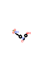 CS(=O)(=O)NCC#Cc1ccc(N2C(=O)C[C@H]2c2ccc(O)cc2)cc1